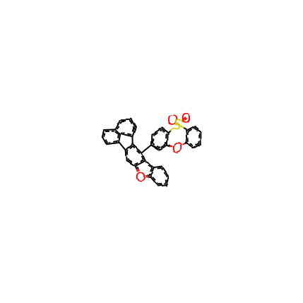 O=S1(=O)c2ccccc2Oc2cc(-c3c4c(cc5oc6ccccc6c35)-c3cccc5cccc-4c35)ccc21